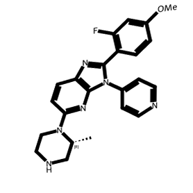 COc1ccc(-c2nc3ccc(N4CCNC[C@H]4C)nc3n2-c2ccncc2)c(F)c1